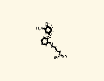 CC(C)N(CCCCOc1ccccc1Oc1ccc(N)c(N)c1)C(C)C